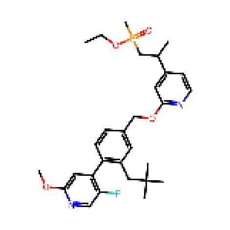 CCOP(C)(=O)CC(C)c1ccnc(OCc2ccc(-c3cc(OC)ncc3F)c(CC(C)(C)C)c2)c1